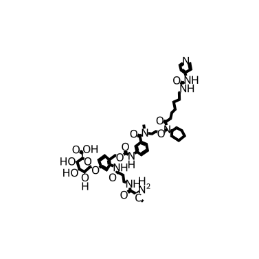 CC[C@H](N)C(=O)NCCC(=O)Nc1cc(O[C@@H]2O[C@H](C(=O)O)[C@@H](O)[C@H](O)[C@H]2O)ccc1COC(=O)Nc1cccc(C(=O)N(C)CCON(C(=O)CCCCCCNC(=O)Nc2ccncc2)C2CCCCC2)c1